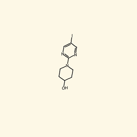 OC1CCN(c2ncc(I)cn2)CC1